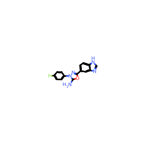 NC1OC(c2ccc3[nH]cnc3c2)=NN1c1ccc(F)cc1